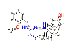 N#Cc1cnc(NCc2ccccc2OC(F)(F)F)nc1N[C@@H]1[C@@H]2CC3C[C@H]1C[C@@](O)(C3)C2